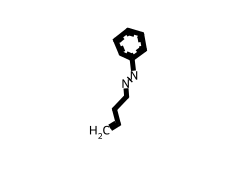 C=CCCN=Nc1ccccc1